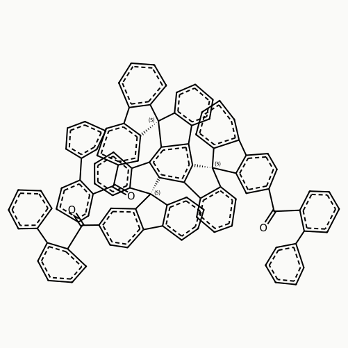 O=C(c1ccc2c(c1)[C@]1(c3ccccc3-2)c2ccccc2-c2c1c1c(c3c2[C@@]2(c4ccccc4-c4ccc(C(=O)c5ccccc5-c5ccccc5)cc42)c2ccccc2-3)[C@@]2(c3ccccc3-c3ccc(C(=O)c4ccccc4-c4ccccc4)cc32)c2ccccc2-1)c1ccccc1-c1ccccc1